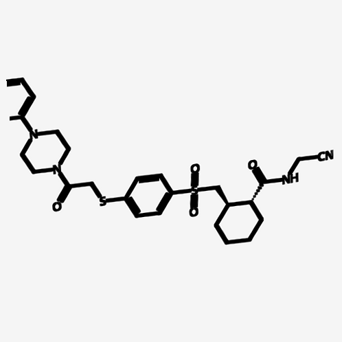 N#CCNC(=O)[C@@H]1CCCC[C@H]1CS(=O)(=O)c1ccc(SCC(=O)N2CCN(c3ccccn3)CC2)cc1